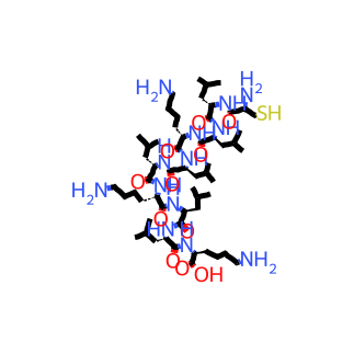 CC(C)C[C@H](NC(=O)[C@H](CC(C)C)NC(=O)[C@H](CCCCN)NC(=O)[C@H](CC(C)C)NC(=O)[C@H](CC(C)C)NC(=O)[C@H](CCCCN)NC(=O)[C@H](CC(C)C)NC(=O)[C@H](CC(C)C)NC(=O)[C@@H](N)CS)C(=O)N[C@@H](CCCCN)C(=O)O